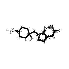 CN1CCC(F)(Cn2ccc3cc(Cl)nnc32)CC1